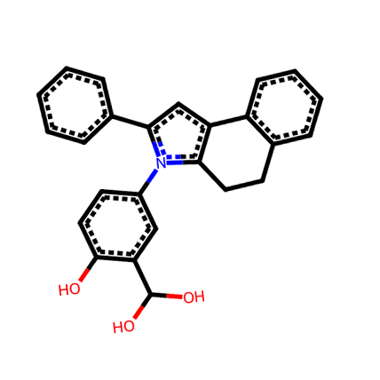 Oc1ccc(-n2c(-c3ccccc3)cc3c2CCc2ccccc2-3)cc1C(O)O